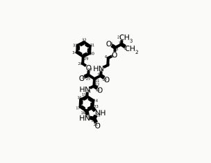 C=C(C)C(=O)OCCNC(=O)C(C(=O)Nc1ccc2[nH]c(=O)[nH]c2c1)C(=O)OCc1ccccc1